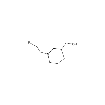 OCC1CCCN(CCF)C1